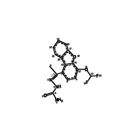 C/C(=N/NC(N)=O)c1ccc(OC(F)F)c2oc3ccccc3c12